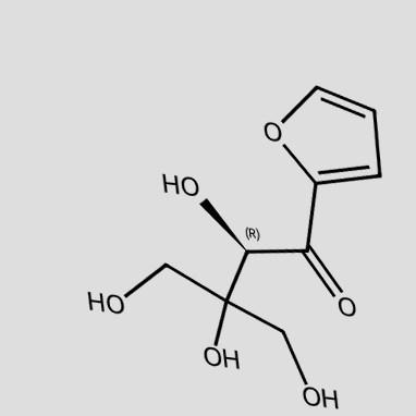 O=C(c1ccco1)[C@H](O)C(O)(CO)CO